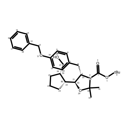 CC(C)(C)OC(=O)N1[C@@H](Cc2ccc(OCc3ccccc3)cc2)[C@H]([C@@H]2CCC[C@@H]2CO)OC1(C)C